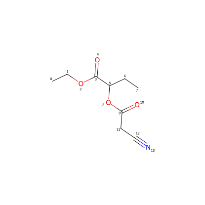 CCOC(=O)C(CC)OC(=O)CC#N